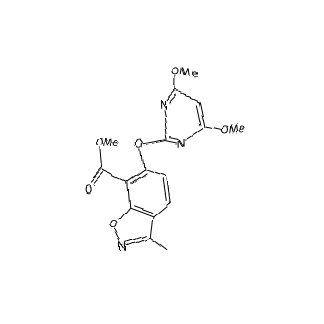 COC(=O)c1c(Oc2nc(OC)cc(OC)n2)ccc2c(C)noc12